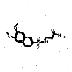 COc1cc2ccc(S(=O)(=O)NCCC(N)=O)cc2cc1OC